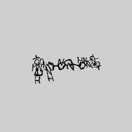 C[C@@H]1C[C@@H](c2nc3ccc(-c4ccc5nc(-c6ccc7nc([C@@H]8C[C@H]9C[C@H]9N8C(=O)OC(C)(C)C)[nH]c7c6)ccc5n4)cc3[nH]2)N(C(=O)OC(C)(C)C)[C@@H]1C